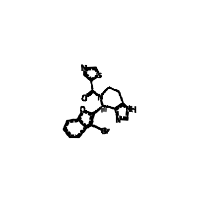 O=C(c1cncs1)N1CCc2[nH]cnc2[C@H]1c1oc2ccccc2c1Br